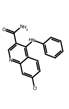 NC(=O)c1cnc2cc(Cl)ccc2c1Nc1ccccc1